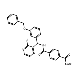 COC(=O)c1ccc(C(=O)NC(c2cccc(OCc3ccccc3)c2)c2nccnc2Cl)cc1